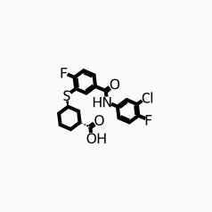 O=C(Nc1ccc(F)c(Cl)c1)c1ccc(F)c(S[C@@H]2CCC[C@@H](C(=O)O)C2)c1